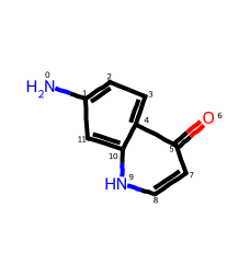 Nc1ccc2c(=O)cc[nH]c2c1